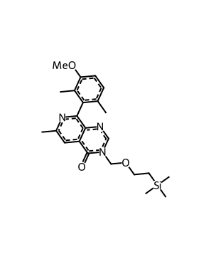 COc1ccc(C)c(-c2nc(C)cc3c(=O)n(COCC[Si](C)(C)C)cnc23)c1C